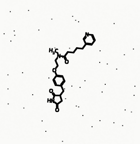 CN(CCOc1ccc(CC2CC(=O)NC2=O)cc1)C(=O)CCCCc1cccnc1